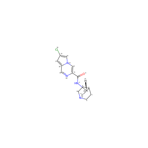 O=C(N[C@H]1CN2CCC1CC2)c1cn2cc(Cl)cc2cn1